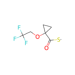 O=C([S])C1(OCC(F)(F)F)CC1